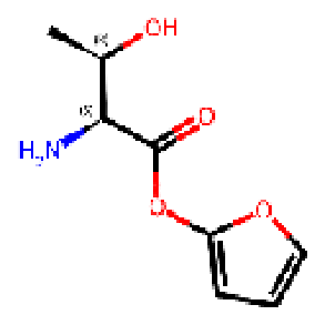 C[C@@H](O)[C@H](N)C(=O)Oc1ccco1